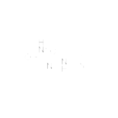 NC(=O)C1CCCN1C(=O)NCc1cccs1